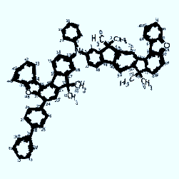 CC1(C)c2cc(N(c3ccccc3)c3ccc4c(c3)C(C)(C)c3cc(-c5ccc(-c6ccccc6)cc5)c5oc6ccccc6c5c3-4)ccc2-c2cc3c(cc21)-c1c(ccc2oc4ccccc4c12)C3(C)C